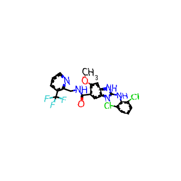 COc1cc2[nH]c(Nc3c(Cl)cccc3Cl)nc2cc1C(=O)NCc1ncccc1C(F)(F)F